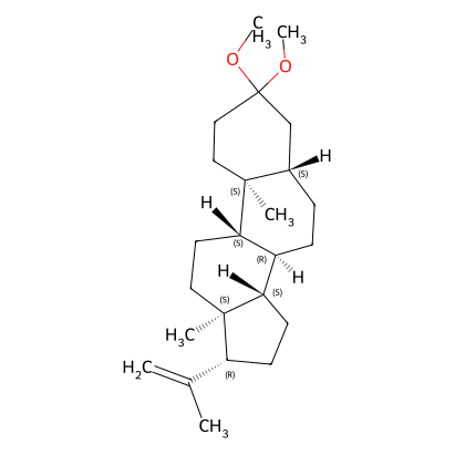 C=C(C)[C@H]1CC[C@H]2[C@@H]3CC[C@H]4CC(OC)(OC)CC[C@]4(C)[C@H]3CC[C@]12C